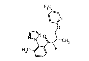 CCN(C(=O)c1cccc(C)c1-n1nccn1)[C@@H](C)COc1ccc(C(F)(F)F)cn1